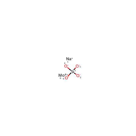 [Mo+4].[Na+].[O-][Si]([O-])([O-])[O-]